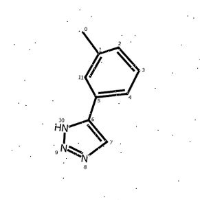 [CH2]c1cccc(-c2cnn[nH]2)c1